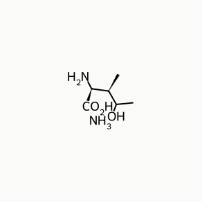 CC(O)[C@H](C)[C@H](N)C(=O)O.N